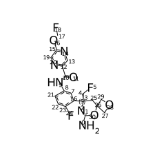 NC1=N[C@](CF)(c2cc(NC(=O)c3cnc(OCF)cn3)ccc2F)CC2(COC2)O1